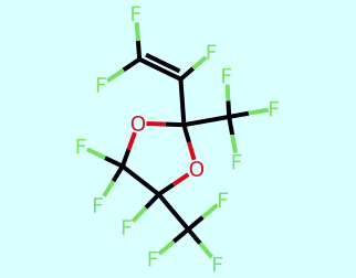 FC(F)=C(F)C1(C(F)(F)F)OC(F)(F)C(F)(C(F)(F)F)O1